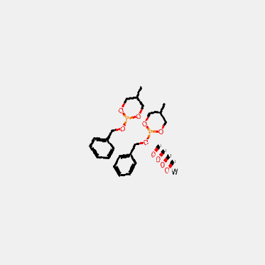 CC1COP(OCc2ccccc2)OC1.CC1COP(OCc2ccccc2)OC1.[C]=O.[C]=O.[C]=O.[C]=O.[W]